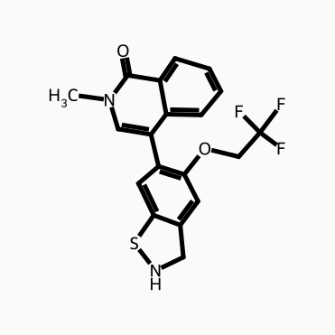 Cn1cc(-c2cc3c(cc2OCC(F)(F)F)CNS3)c2ccccc2c1=O